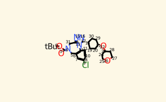 CC(C)(C)OC(=O)N1Cc2cc(Cl)ccc2-n2c(nnc2[C@H]2CC[C@@H](OC3CCOCC3)CC2)C1